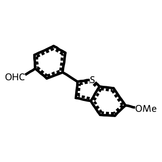 COc1ccc2cc(-c3cccc(C=O)c3)sc2c1